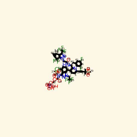 CC(C)(C#Cc1ccc(-c2ccc(Cl)c3c(N(C(=O)OCOP(=O)(O)O)S(C)(=O)=O)nn(CC(F)(F)F)c23)c([C@H](Cc2cc(F)cc(F)c2)NC(=O)Cn2nc(C(F)(F)F)c3c2C(F)(F)C2C[C@H]32)n1)S(C)(=O)=O